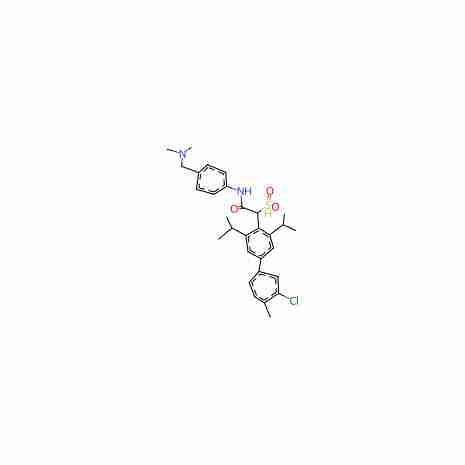 Cc1ccc(-c2cc(C(C)C)c(C(C(=O)Nc3ccc(CN(C)C)cc3)[SH](=O)=O)c(C(C)C)c2)cc1Cl